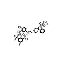 CN(C[C@@H](CCN1CCC2(CC1)CN(S(C)(=O)=O)c1ccccc12)c1ccc(Cl)c(Cl)c1)C(=O)c1cc(F)cc(C(F)(F)F)c1